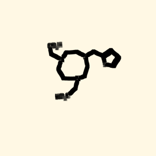 O=C(O)CN1CCN(CC(=O)O)CCN(Cc2cccs2)CC1